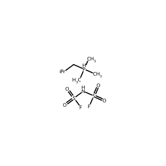 CC(C)C[PH](C)(C)C.O=S(=O)(F)NS(=O)(=O)F